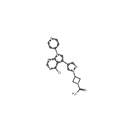 CC(=O)N1CC(n2cc(-c3cn(-c4ccncc4)c4ncnc(Cl)c34)cn2)C1